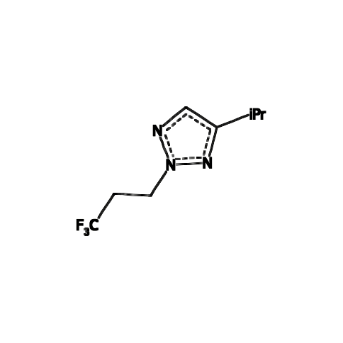 CC(C)c1cnn(CCC(F)(F)F)n1